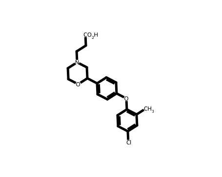 Cc1cc(Cl)ccc1Oc1ccc(C2CN(CCC(=O)O)CCO2)cc1